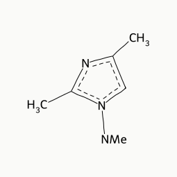 CNn1cc(C)nc1C